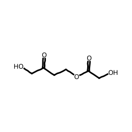 O=C(CO)CCOC(=O)CO